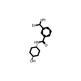 CCCC(CC)c1cccc(C(=O)N[C@H]2CC[C@H](O)CC2)c1